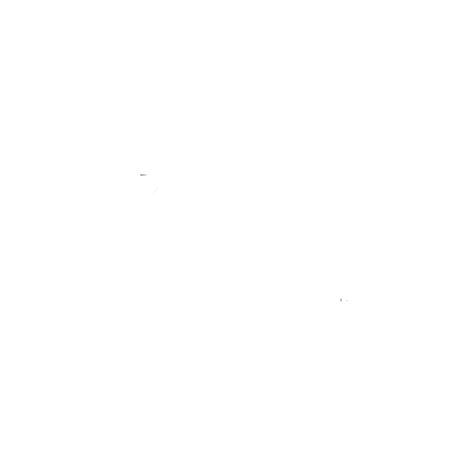 C=CC(=O)OCCOCCOCCOCCOCCOCCCC